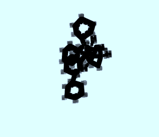 CC1(C)[C@H]2C[C@H](P(c3ccccc3)c3ccccc3)[C@@H](c3cccc(-c4ccccc4)n3)[C@@H]1C2